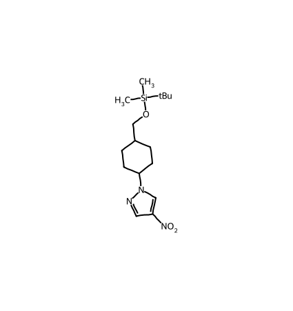 CC(C)(C)[Si](C)(C)OCC1CCC(n2cc([N+](=O)[O-])cn2)CC1